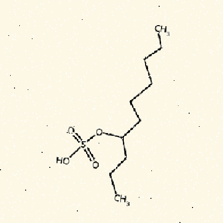 CCCCCCC(CCC)OS(=O)(=O)O